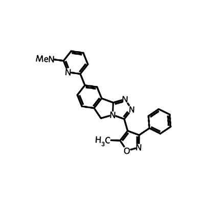 CNc1cccc(-c2ccc3c(c2)-c2nnc(-c4c(-c5ccccc5)noc4C)n2C3)n1